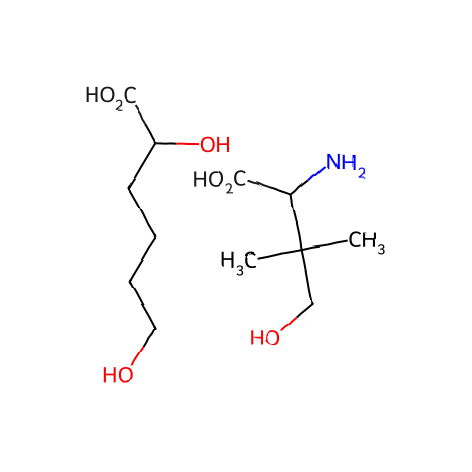 CC(C)(CO)C(N)C(=O)O.O=C(O)C(O)CCCCO